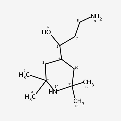 CC1(C)CC(C(O)CCN)CC(C)(C)N1